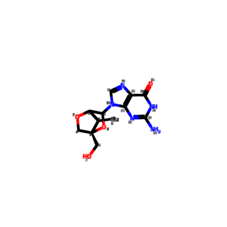 CC(C)(C)C1C2OC[C@@]1(CO)OC2n1cnc2c(=O)[nH]c(N)nc21